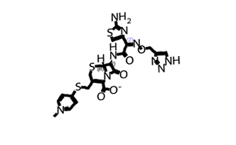 C[n+]1ccc(SCC2=C(C(=O)[O-])N3C(=O)[C@@H](NC(=O)/C(=N\OCc4c[nH]nn4)c4csc(N)n4)[C@H]3SC2)cc1